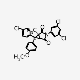 COc1ccc([C@]2(c3ccc(Cl)cc3)C3C(=O)N(c4cc(Cl)cc(Cl)c4)C(=O)[C@@]32C)cc1